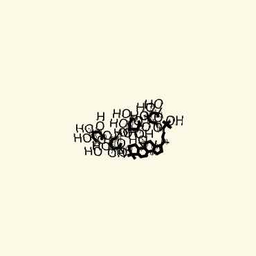 C[C@H](CC[C@@H](O[C@@H]1O[C@H](CO)[C@@H](O)[C@H](O)[C@H]1O[C@H]1O[C@@H](CO)[C@H](O)[C@@H](O)[C@@H]1O)C(C)(C)O)C1CC[C@@]2(C)C3CC=C4C(CC[C@H](O[C@@H]5O[C@H](CO)[C@@H](O[C@@H]6O[C@H](CO)[C@@H](O)[C@H](O)[C@H]6O)[C@H](O)[C@H]5O)C4(C)C)[C@]3(C)[C@H](O)C[C@]12C